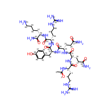 CC(=O)N[C@@H](CCCNC(=N)N)C(=O)N[C@@H](CCC(N)=O)C(=O)N[C@@H](CCC(N)=O)C(=O)N[C@@H](Cc1ccc(O)cc1)C(=O)N[C@@H](CCCNC(=N)N)C(=O)N[C@@H](CCCCN)C(N)=O